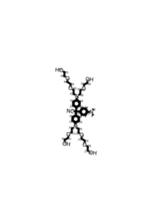 CN(C)c1ccc(C(C#N)(c2ccc(N(CCOCCO)CCOCCOCCO)cc2)c2ccc(N(CCOCCO)CCOCCOCCO)cc2)cc1